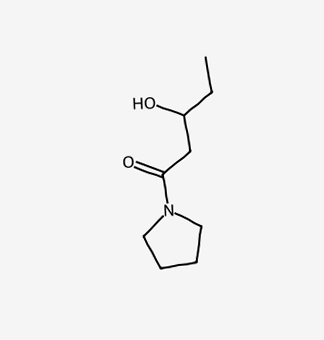 CCC(O)CC(=O)N1CCCC1